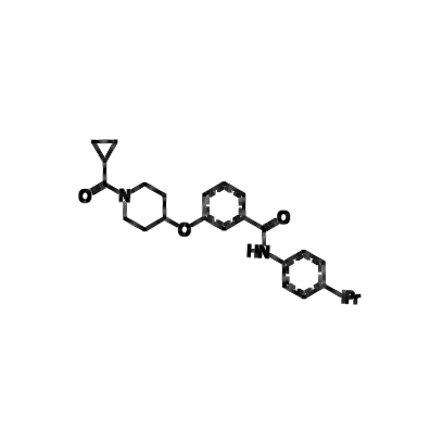 CC(C)c1ccc(NC(=O)c2cccc(OC3CCN(C(=O)C4CC4)CC3)c2)cc1